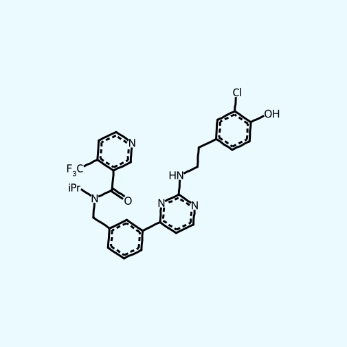 CC(C)N(Cc1cccc(-c2ccnc(NCCc3ccc(O)c(Cl)c3)n2)c1)C(=O)c1cnccc1C(F)(F)F